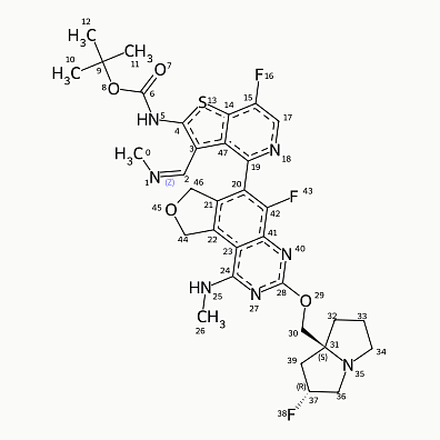 C/N=C\c1c(NC(=O)OC(C)(C)C)sc2c(F)cnc(-c3c4c(c5c(NC)nc(OC[C@@]67CCCN6C[C@H](F)C7)nc5c3F)COC4)c12